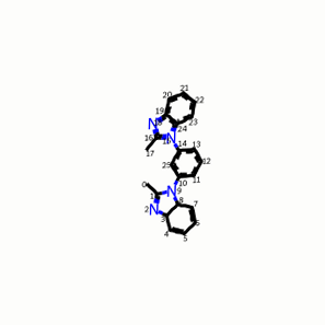 CC1=NC2C=CC=CC2N1c1cccc(-n2c(C)nc3ccccc32)c1